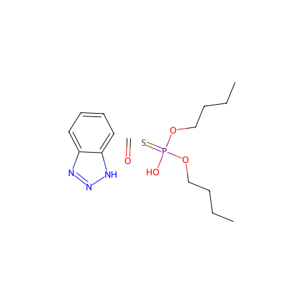 C=O.CCCCOP(O)(=S)OCCCC.c1ccc2[nH]nnc2c1